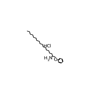 CCCCCCCCCCCCCCCCC(N)COc1ccccc1.Cl